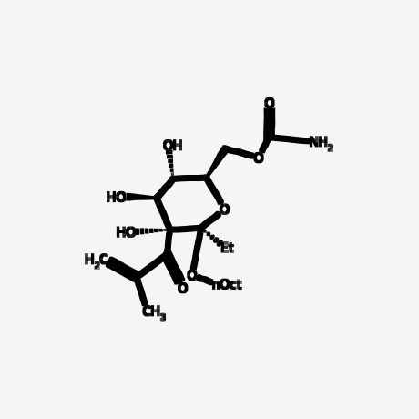 C=C(C)C(=O)[C@@]1(O)[C@@H](O)[C@H](O)[C@@H](COC(N)=O)O[C@@]1(CC)OCCCCCCCC